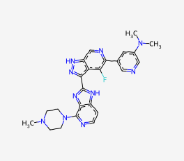 CN1CCN(c2nccc3[nH]c(-c4n[nH]c5cnc(-c6cncc(N(C)C)c6)c(F)c45)nc23)CC1